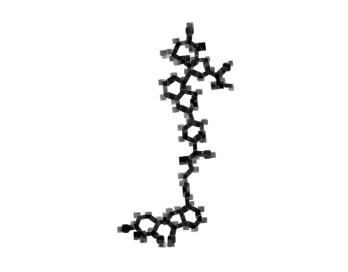 CNC(=O)c1cc2c(c(-c3cccc4cc(-c5ccc(C(=O)NCCC#Cc6cccc7c6CN(C6CCC(=O)NC6=O)C7=O)nc5)ncc34)c1)N[C@H](C)CC(=O)N2